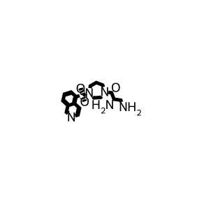 NC[C@@H](N)C(=O)N1CCCN(S(=O)(=O)c2cccc3cnccc23)CC1